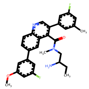 CCC(N)CN(C)C(=O)c1c(-c2cc(C)cc(F)c2)cnc2ccc(-c3cc(F)cc(OC)c3)cc12